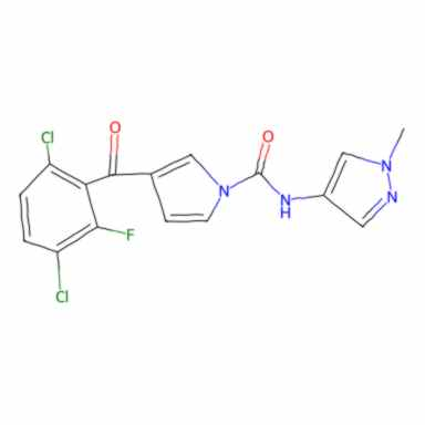 Cn1cc(NC(=O)n2ccc(C(=O)c3c(Cl)ccc(Cl)c3F)c2)cn1